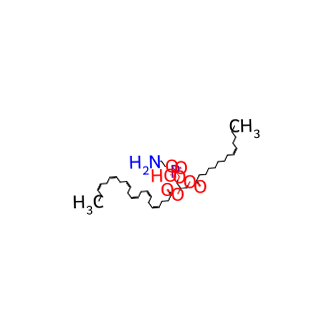 CC/C=C\C/C=C\C/C=C\C/C=C\C/C=C\C/C=C\CCC(=O)O[C@H](COC(=O)CCCCCCC/C=C\CCCC)COP(=O)(O)OCCN